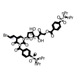 CCCN(CCC)S(=O)(=O)c1ccc(C(=O)OCC(=O)C(O)[C@H]2O[C@@H](n3cc(/C=C/Br)c(=O)n(C(=O)c4ccc(S(=O)(=O)N(CCC)CCC)cc4)c3=O)C[C@@H]2O)cc1